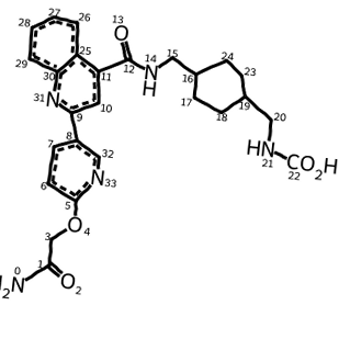 NC(=O)COc1ccc(-c2cc(C(=O)NCC3CCC(CNC(=O)O)CC3)c3ccccc3n2)cn1